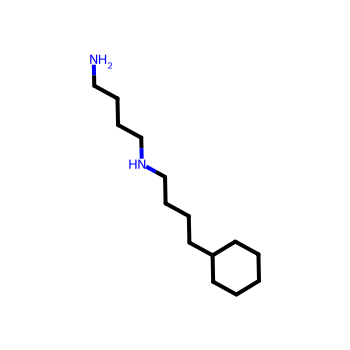 NCCCCNCCCCC1CCCCC1